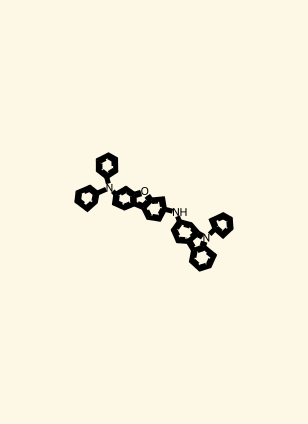 c1ccc(N(c2ccccc2)c2ccc3c(c2)oc2cc(Nc4ccc5c6ccccc6n(-c6ccccc6)c5c4)ccc23)cc1